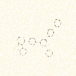 c1ccc(-c2ccc(-c3cc(-c4ccc(-c5cccc6oc7ccccc7c56)cc4)nc(-c4ccccc4)n3)cc2)cc1